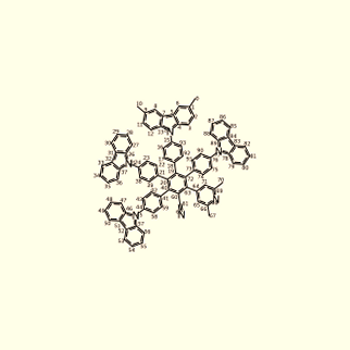 Cc1ccc2c(c1)c1cc(C)ccc1n2-c1ccc(-c2c(-c3ccc(-n4c5ccccc5c5ccccc54)cc3)c(-c3ccc(-n4c5ccccc5c5ccccc54)cc3)c(C#N)c(-c3cc(C)nc(C)c3)c2-c2ccc(-n3c4ccccc4c4ccccc43)cc2)cc1